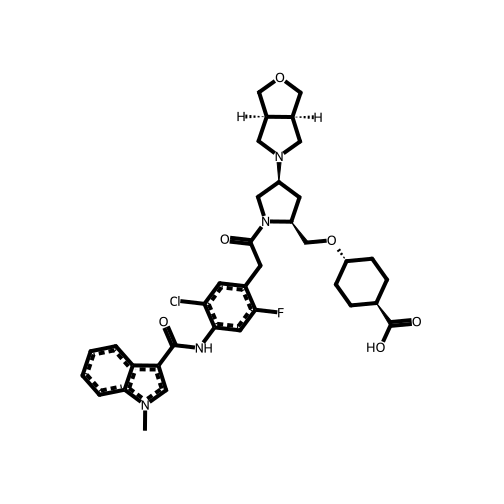 Cn1cc(C(=O)Nc2cc(F)c(CC(=O)N3C[C@@H](N4C[C@H]5COC[C@H]5C4)C[C@H]3CO[C@H]3CC[C@H](C(=O)O)CC3)cc2Cl)c2ccccc21